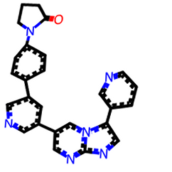 O=C1CCCN1c1ccc(-c2cncc(-c3cnc4ncc(-c5cccnc5)n4c3)c2)cc1